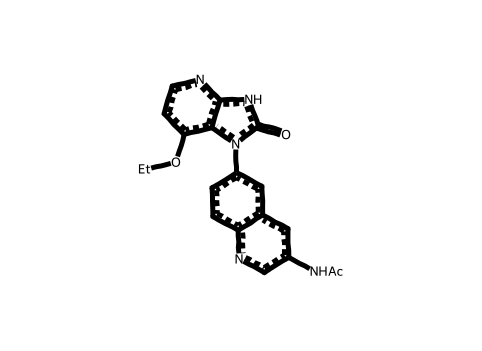 CCOc1ccnc2[nH]c(=O)n(-c3ccc4ncc(NC(C)=O)cc4c3)c12